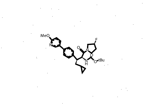 COc1ccc(-c2ccc([C@H](CC3CC3)[C@H](NC(=O)OC(C)(C)C)C(=O)N3CC[C@H](F)C3)cc2)cn1